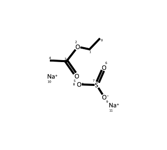 CCOC(C)=O.O=S([O-])[O-].[Na+].[Na+]